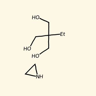 C1CN1.CCC(CO)(CO)CO